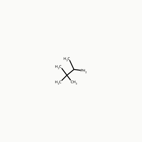 CC(P)C(C)(C)C